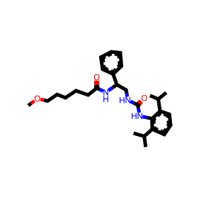 COCCCCCC(=O)NC(CNC(=O)Nc1c(C(C)C)cccc1C(C)C)c1ccccc1